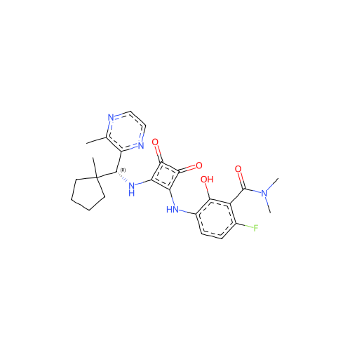 Cc1nccnc1[C@H](Nc1c(Nc2ccc(F)c(C(=O)N(C)C)c2O)c(=O)c1=O)C1(C)CCCC1